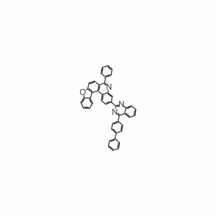 c1ccc(-c2ccc(-c3nc(-c4ccc5c(c4)nc(-c4ccccc4)c4ccc6oc7ccccc7c6c45)nc4ccccc34)cc2)cc1